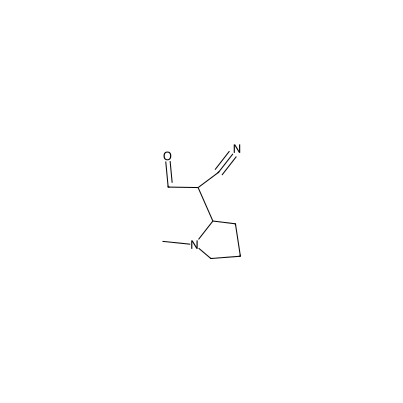 CN1CCCC1C(C#N)C=O